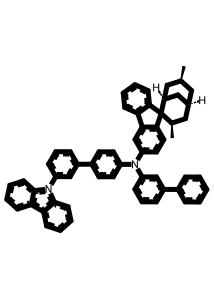 C[C@H]1C[C@@H]2C[C@H](C1)C1(c3ccccc3-c3cc(N(c4ccc(-c5cccc(-n6c7ccccc7c7ccccc76)c5)cc4)c4cccc(-c5ccccc5)c4)ccc31)[C@H](C)C2